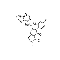 CCC(Nc1ncnc2[nH]cnc12)c1cc2ccc(F)c(Cl)c2c(=O)n1-c1ccc(F)cc1